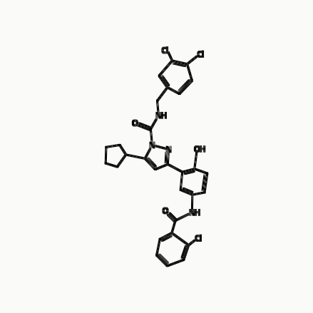 O=C(Nc1ccc(O)c(-c2cc(C3CCCC3)n(C(=O)NCc3ccc(Cl)c(Cl)c3)n2)c1)c1ccccc1Cl